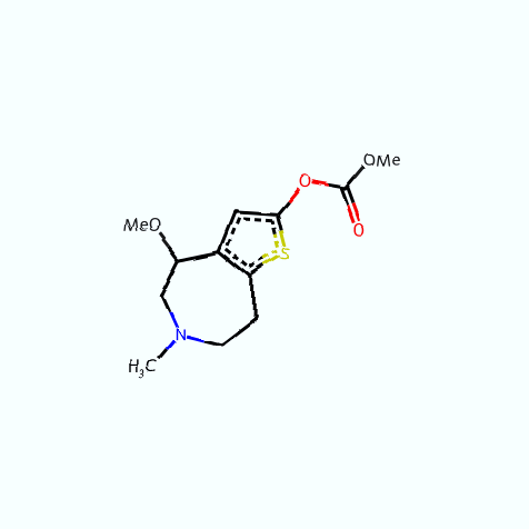 COC(=O)Oc1cc2c(s1)CCN(C)CC2OC